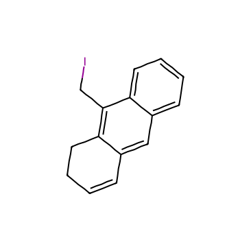 ICc1c2c(cc3ccccc13)C=CCC2